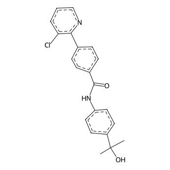 CC(C)(O)c1ccc(NC(=O)c2ccc(-c3ncccc3Cl)cc2)cc1